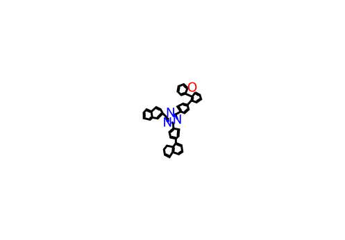 C1=Cc2cccc(-c3ccc(-c4nc(-c5ccc(-c6cccc7oc8ccccc8c67)cc5)nc(-c5ccc6ccccc6c5)n4)cc3)c2CC1